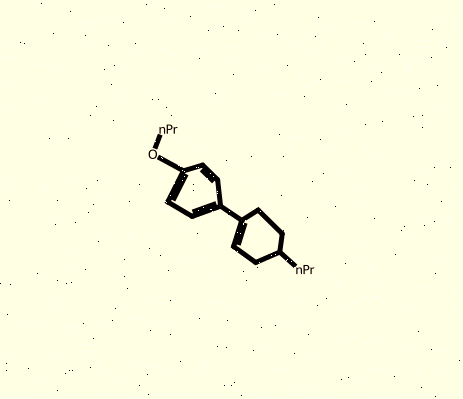 CCCOc1ccc(C2=CCC(CCC)CC2)cc1